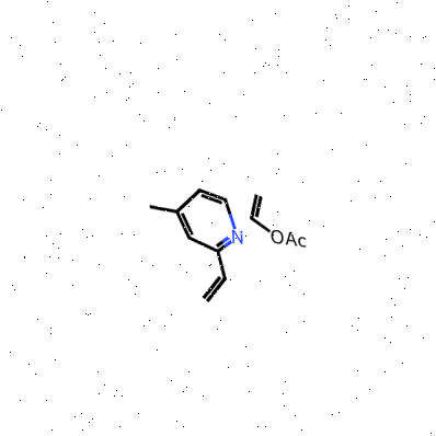 C=COC(C)=O.C=Cc1cc(C)ccn1